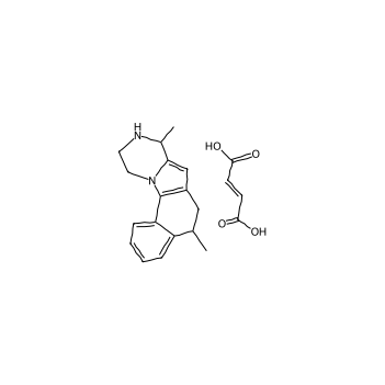 CC1Cc2cc3n(c2-c2ccccc21)CCNC3C.O=C(O)C=CC(=O)O